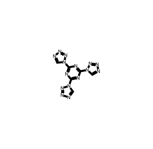 c1nnnn1-c1nc(-n2cnnn2)nc(-n2cnnn2)n1